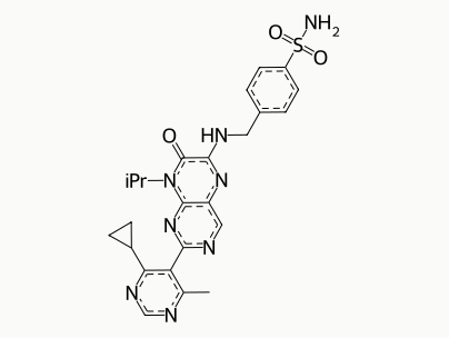 Cc1ncnc(C2CC2)c1-c1ncc2nc(NCc3ccc(S(N)(=O)=O)cc3)c(=O)n(C(C)C)c2n1